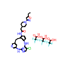 CCc1cc(N2CCC(CC(=O)Nc3ccc4cc3CCc3cncc(c3)Nc3ncc(Cl)c(n3)N4)CC2)no1.O=C(O)C(F)(F)F.O=C(O)C(F)(F)F.O=C(O)C(F)(F)F